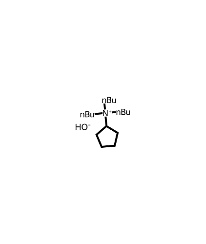 CCCC[N+](CCCC)(CCCC)C1CCCC1.[OH-]